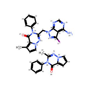 Cc1ccn2nc(Cn3nc(I)c4c(N)ncnc43)n(-c3ccccc3)c(=O)c12.Cc1nn2cccc2c(=O)n1-c1ccccc1